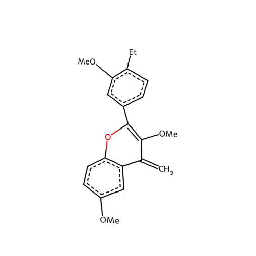 C=C1C(OC)=C(c2ccc(CC)c(OC)c2)Oc2ccc(OC)cc21